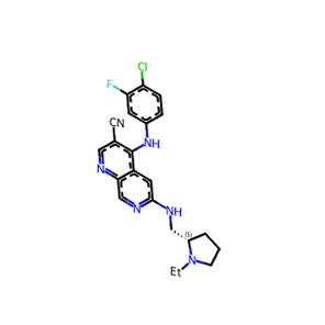 CCN1CCC[C@H]1CNc1cc2c(Nc3ccc(Cl)c(F)c3)c(C#N)cnc2cn1